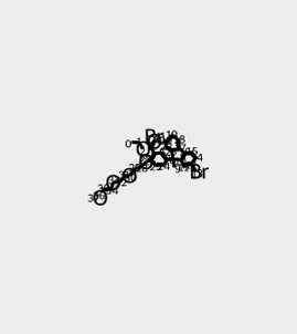 CCOC(=O)c1cc(C2(C)c3cc(Br)ccc3-c3ccc(Br)cc32)ccc1OCCOCCOCCOC